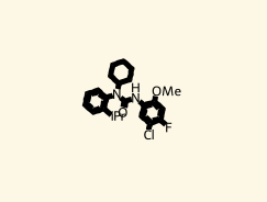 COc1cc(F)c(Cl)cc1NC(=O)N(c1ccccc1C(C)C)C1CCCCC1